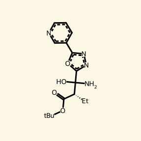 CC[C@H](C(=O)OC(C)(C)C)C(N)(O)c1nnc(-c2cccnc2)o1